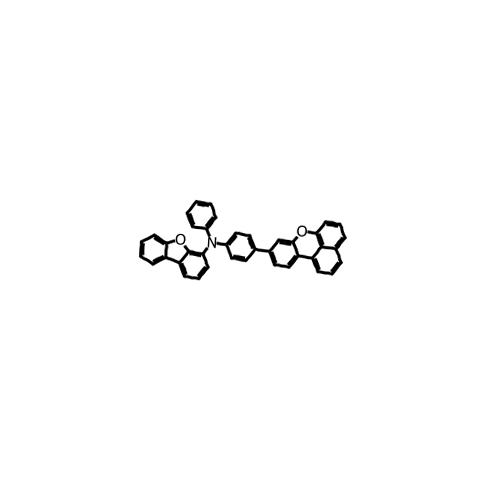 c1ccc(N(c2ccc(-c3ccc4c(c3)Oc3cccc5cccc-4c35)cc2)c2cccc3c2oc2ccccc23)cc1